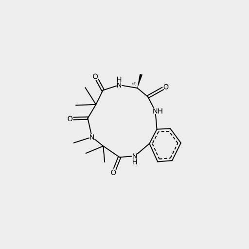 C[C@@H]1NC(=O)C(C)(C)C(=O)N(C)C(C)(C)C(=O)Nc2ccccc2NC1=O